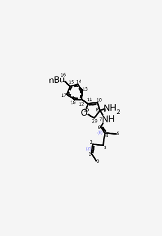 C/C=C\C/C(C)=C/NC1(N)C=C(c2ccc(CCCC)cc2)OC1